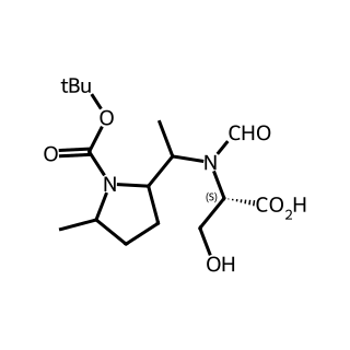 CC1CCC(C(C)N(C=O)[C@@H](CO)C(=O)O)N1C(=O)OC(C)(C)C